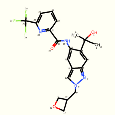 CC(C)(O)c1cc2nn(CC3COC3)cc2cc1NC(=O)c1cccc(C(F)(F)F)n1